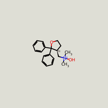 C[N+](C)(O)C[C@@H]1CCOC1(c1ccccc1)c1ccccc1